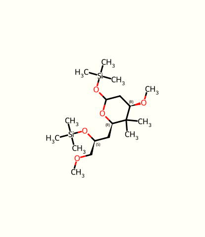 COC[C@H](C[C@H]1OC(O[Si](C)(C)C)C[C@@H](OC)C1(C)C)O[Si](C)(C)C